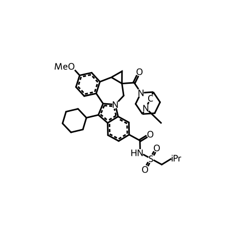 COc1ccc2c(c1)C1CC1(C(=O)N1CC3CCC1CN3C)Cn1c-2c(C2CCCCC2)c2ccc(C(=O)NS(=O)(=O)CC(C)C)cc21